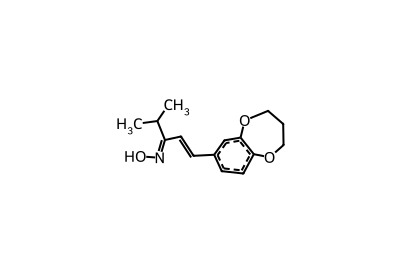 CC(C)C(C=Cc1ccc2c(c1)OCCCO2)=NO